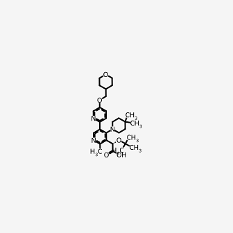 Cc1ncc(-c2ccc(OCC3CCOCC3)cn2)c(N2CCC(C)(C)CC2)c1[C@H](OC(C)(C)C)C(=O)O